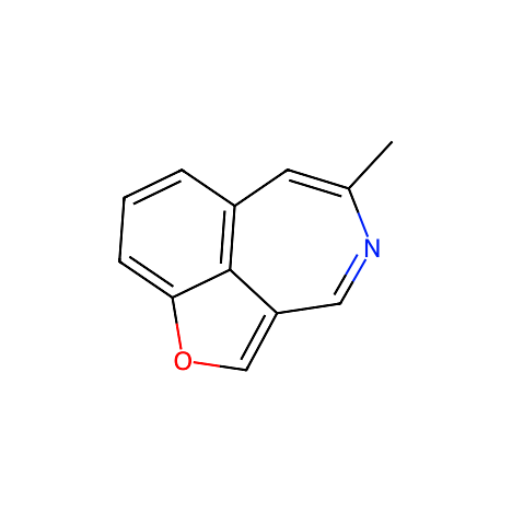 CC1=Cc2cccc3occ(c23)C=N1